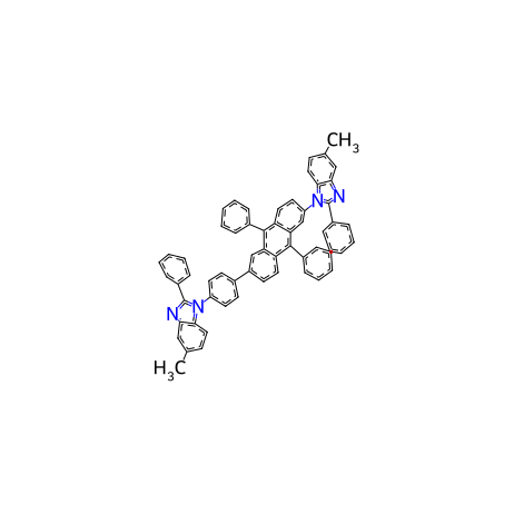 Cc1ccc2c(c1)nc(-c1ccccc1)n2-c1ccc(-c2ccc3c(-c4ccccc4)c4cc(-n5c(-c6ccccc6)nc6cc(C)ccc65)ccc4c(-c4ccccc4)c3c2)cc1